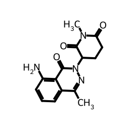 Cc1nn(C2CCC(=O)N(C)C2=O)c(=O)c2c(N)cccc12